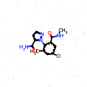 CNC(=O)c1cc(Cl)cc(C)c1-n1nccc1C(N)=O